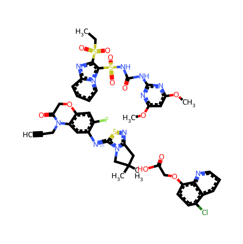 C#CCN1C(=O)COc2cc(F)c(/N=c3\snc4n3CC(C)(C)C4)cc21.CCS(=O)(=O)c1nc2ccccn2c1S(=O)(=O)NC(=O)Nc1nc(OC)cc(OC)n1.O=C(O)COc1ccc(Cl)c2cccnc12